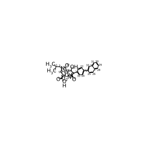 CC(C)CN(CC(O)C(=O)O)C(=O)NC(O)C(C(N)=O)c1ccc(-c2ccc3ccccc3c2)cc1